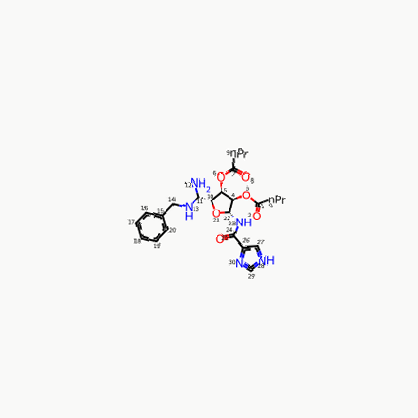 CCCC(=O)O[C@@H]1[C@H](OC(=O)CCC)[C@@H](C(N)NCc2ccccc2)O[C@H]1NC(=O)c1c[nH]cn1